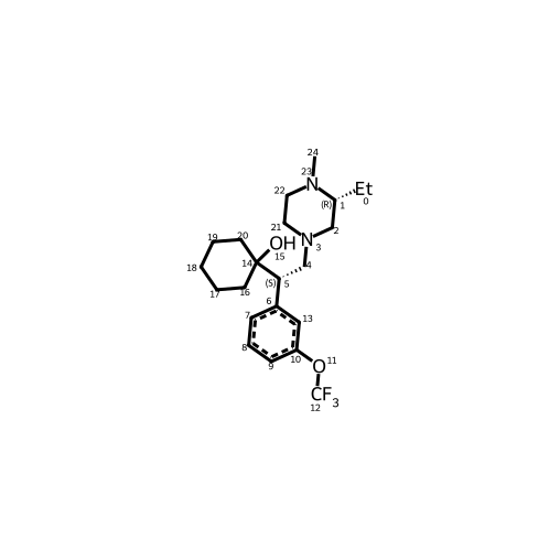 CC[C@@H]1CN(C[C@H](c2cccc(OC(F)(F)F)c2)C2(O)CCCCC2)CCN1C